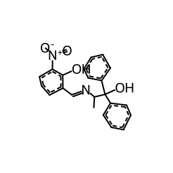 CC(N=Cc1cccc([N+](=O)[O-])c1O)C(O)(c1ccccc1)c1ccccc1